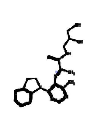 C/C(=N\c1c(C)ncnc1N1CCc2ccccc21)C(=O)NCC(O)CO